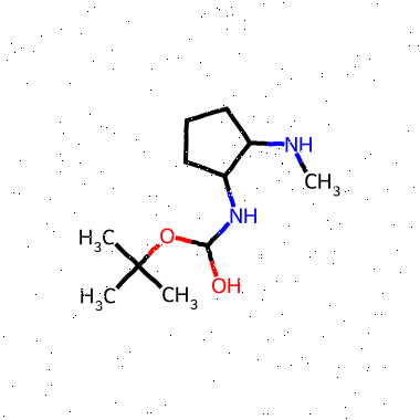 CNC1CCCC1NC(O)OC(C)(C)C